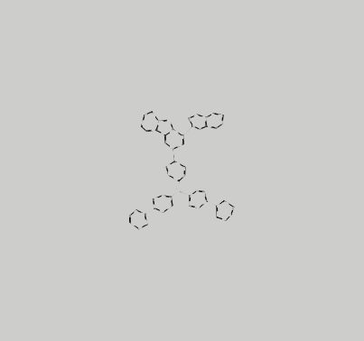 c1ccc(-c2ccc(N(c3ccc(-c4ccccc4)cc3)c3ccc(-c4cc(-c5ccc6ccccc6c5)c5sc6ccccc6c5c4)cc3)cc2)cc1